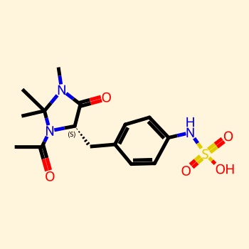 CC(=O)N1[C@@H](Cc2ccc(NS(=O)(=O)O)cc2)C(=O)N(C)C1(C)C